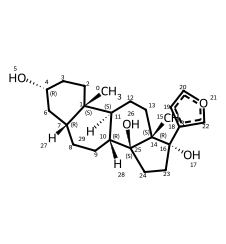 C[C@]12CC[C@@H](O)C[C@H]1CC[C@@H]1[C@@H]2CC[C@]2(C)[C@@](O)(c3ccoc3)CC[C@]12O